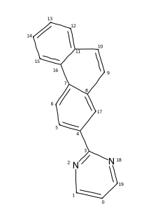 c1cnc(-c2ccc3c(ccc4ccccc43)c2)nc1